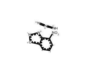 O=[N+]([O-])c1cccc2onnc12.[N-]=[N+]=N